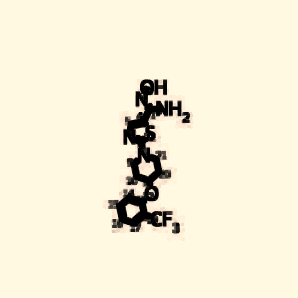 N/C(=N\O)c1cnc(N2CCC(Oc3ccccc3C(F)(F)F)CC2)s1